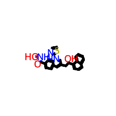 O=C(NO)c1ccc(C=C(CNc2nccs2)CC(O)c2cccc3ccccc23)cc1